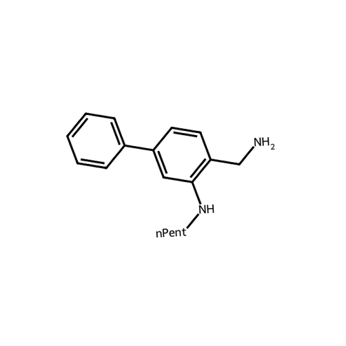 CCCCCNc1cc(-c2ccccc2)ccc1CN